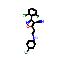 N#Cc1c(-c2c(F)cccc2Cl)noc1/C=C/Nc1ccc(Cl)cc1